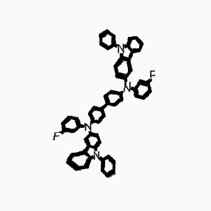 Fc1cccc(N(c2ccc(-c3ccc(N(c4cccc(F)c4)c4ccc5c(c4)c4ccccc4n5-c4ccccc4)cc3)cc2)c2ccc3c(c2)c2ccccc2n3-c2ccccc2)c1